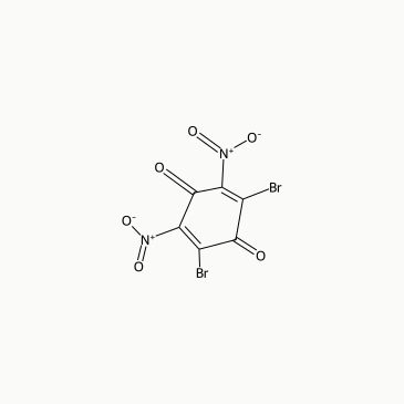 O=C1C(Br)=C([N+](=O)[O-])C(=O)C([N+](=O)[O-])=C1Br